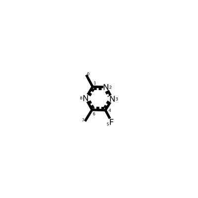 Cc1nnc(F)c(C)n1